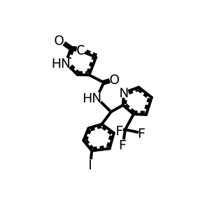 O=C(NC(c1ccc(I)cc1)c1ncccc1C(F)(F)F)c1ccc(=O)[nH]c1